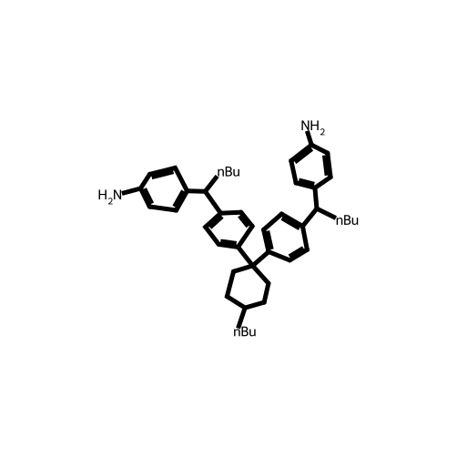 CCCCC1CCC(c2ccc(C(CCCC)c3ccc(N)cc3)cc2)(c2ccc(C(CCCC)c3ccc(N)cc3)cc2)CC1